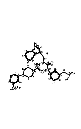 COc1cccc(C2CCN(C(=O)N[C@@H](C(=O)Nc3cccc(CN(C)C)c3)[C@@H](C)c3c[nH]c4ccccc34)CC2)c1